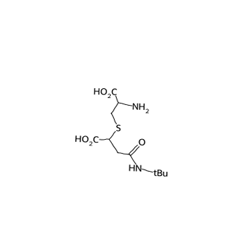 CC(C)(C)NC(=O)CC(SCC(N)C(=O)O)C(=O)O